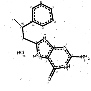 C[C@@H](Cc1nc2nc(N)[nH]c(=O)c2[nH]1)c1ccccc1.Cl